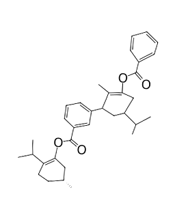 CC1=C(OC(=O)c2ccccc2)CC(C(C)C)CC1c1cccc(C(=O)OC2=C(C(C)C)CC[C@@H](C)C2)c1